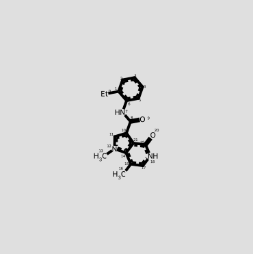 CCc1ccccc1NC(=O)c1cn(C)c2c(C)c[nH]c(=O)c12